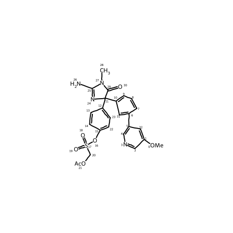 COc1cncc(-c2cccc(C3(c4ccc(OS(=O)(=O)COC(C)=O)cc4)N=C(N)N(C)C3=O)c2)c1